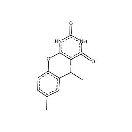 Cc1ccc2c(c1)C(C)c1c([nH]c(=O)[nH]c1=O)O2